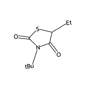 CCC1SC(=O)N(C(C)(C)C)C1=O